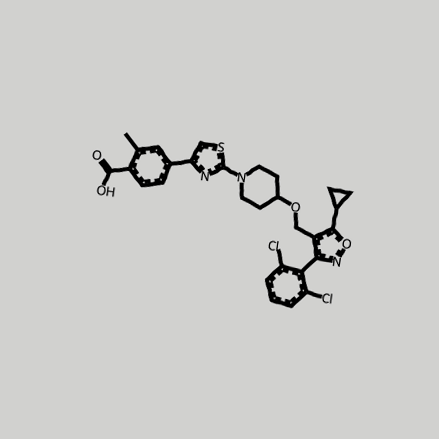 Cc1cc(-c2csc(N3CCC(OCc4c(-c5c(Cl)cccc5Cl)noc4C4CC4)CC3)n2)ccc1C(=O)O